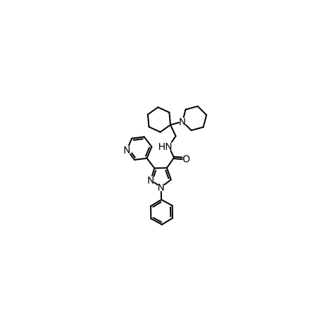 O=C(NCC1(N2CCCCC2)CCCCC1)c1cn(-c2ccccc2)nc1-c1cccnc1